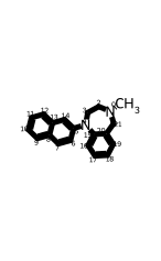 CN1CCN(c2ccc3ccccc3c2)c2ccccc2C1